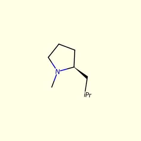 CC(C)C[C@@H]1CCCN1C